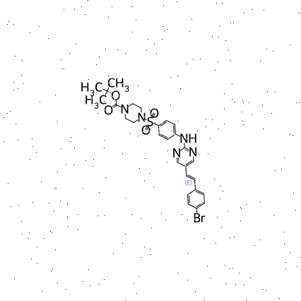 CC(C)(C)OC(=O)N1CCN(S(=O)(=O)c2ccc(Nc3ncc(/C=C/c4ccc(Br)cc4)cn3)cc2)CC1